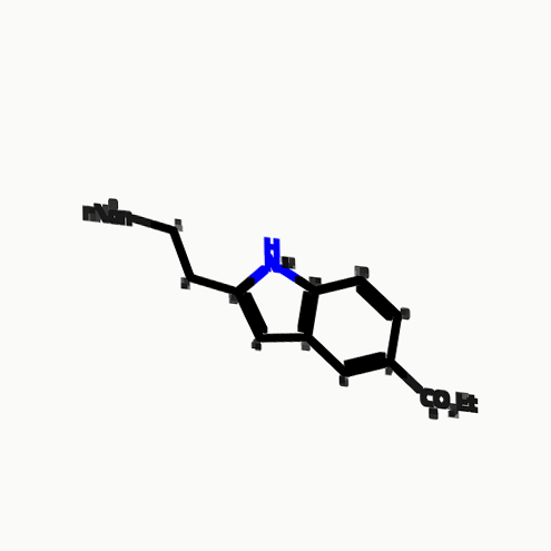 CCCCCCCCCCCc1cc2cc(C(=O)OCC)ccc2[nH]1